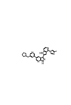 Cc1cn(-c2nccc3[nH]c(-c4n[nH]c5ncc(-c6cncc(CN7CCCC7)c6)cc45)cc23)cn1